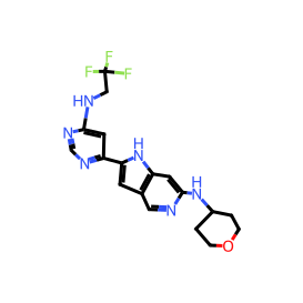 FC(F)(F)CNc1cc(-c2cc3cnc(NC4CCOCC4)cc3[nH]2)ncn1